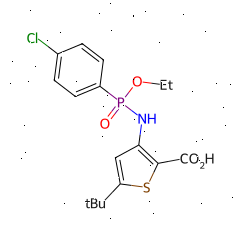 CCOP(=O)(Nc1cc(C(C)(C)C)sc1C(=O)O)c1ccc(Cl)cc1